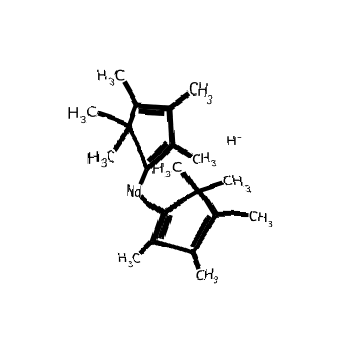 CC1=C(C)C(C)(C)[C]([Nd][C]2=C(C)C(C)=C(C)C2(C)C)=C1C.[H-]